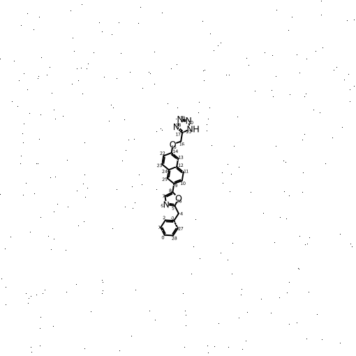 c1ccc(Cc2ncc(-c3ccc4cc(OCc5nnn[nH]5)ccc4c3)o2)cc1